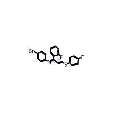 Fc1ccc(S/C=C/C(=N/c2ccc(Br)cc2)c2ccccc2F)cc1